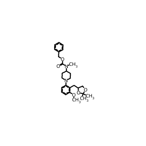 COc1cccc(N2CCC(N(C)C(=O)OCc3ccccc3)CC2)c1CC1COC(C)(C)O1